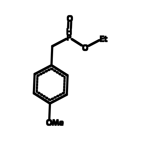 CCO[PH](=O)Cc1ccc(OC)cc1